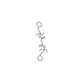 CCC(CC)(CCC1CCCCC1)OC(=O)CCC(=O)OC(CC)(CC)CCC1CCCCC1